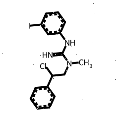 CN(CC(Cl)c1ccccc1)C(=N)Nc1cccc(I)c1